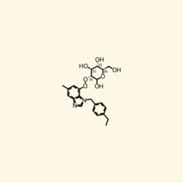 CCc1ccc(Cn2cnc3cc(C)cc(OO[C@H]4C(O)O[C@H](CO)[C@@H](O)[C@@H]4O)c32)cc1